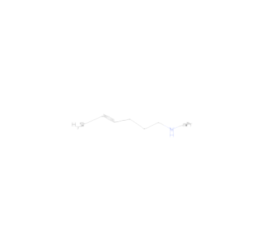 CCCNCCCC=C[SiH3]